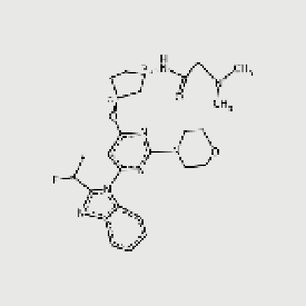 CN(C)CC(=O)N[C@H]1CC[C@H](Oc2cc(-n3c(C(F)F)nc4ccccc43)nc(N3CCOCC3)n2)C1